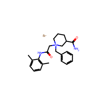 Cc1cccc(C)c1NC(=O)C[N+]1(Cc2ccccc2)CCCC(C(N)=O)C1.[Br-]